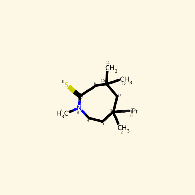 CC(C)C1(C)CCN(C)C(=S)CC(C)(C)C1